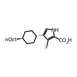 CCCCCCCC[C@H]1CC[C@H](c2c[nH]c(C(=O)O)c2F)CC1